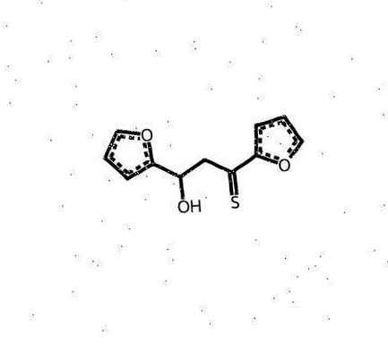 OC(CC(=S)c1ccco1)c1ccco1